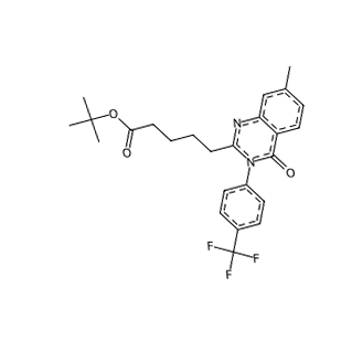 Cc1ccc2c(=O)n(-c3ccc(C(F)(F)F)cc3)c(CCCCC(=O)OC(C)(C)C)nc2c1